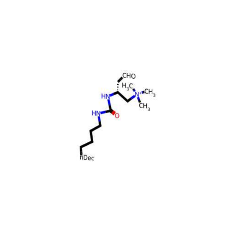 CCCCCCCCCCCCCCNC(=O)N[C@H](CC=O)C[N+](C)(C)C